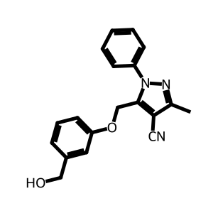 Cc1nn(-c2ccccc2)c(COc2cccc(CO)c2)c1C#N